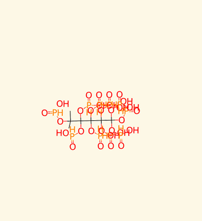 CC(C)(O[PH](=O)O)C(O[PH](=O)O)(O[PH](=O)O)C(O[PH](=O)O)(O[PH](=O)O)C(O[PH](=O)O)(O[PH](=O)O)C(O[PH](=O)O)(O[PH](=O)O)O[PH](=O)O